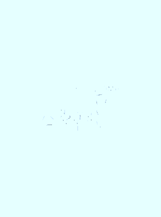 COc1ccc(C2=CC(=O)[N+](CC(=O)Nc3nc(-c4ccccc4)ns3)=C2)cc1O[C@@H]1CCOC1